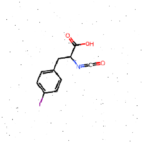 O=C=NC(Cc1ccc(I)cc1)C(=O)O